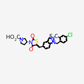 O=C(O)N1CC[C@@H](N2C(=O)SC(=Cc3ccc4c(cnn4Cc4ccc(Cl)cc4C(F)(F)F)c3)C2=O)C1